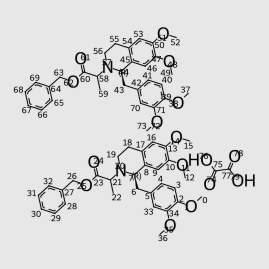 COc1ccc(C[C@@H]2c3cc(OC)c(OC)cc3CCN2C(C)C(=O)OCc2ccccc2)cc1OC.COc1ccc(C[C@@H]2c3cc(OC)c(OC)cc3CCN2C(C)C(=O)OCc2ccccc2)cc1OC.O=C(O)C(=O)O